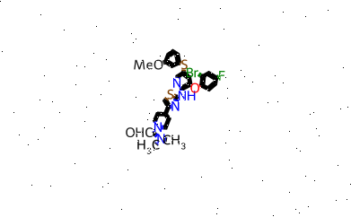 COc1cccc(Sc2cnc(Nc3nc(C4CCN(C(C=O)N(C)C)CC4)cs3)c(Oc3ccc(F)cc3Br)c2)c1